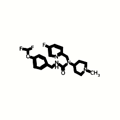 CN1CCC(N(Cc2ccc(F)cn2)C(=O)NCc2ccc(OC(F)F)cc2)CC1